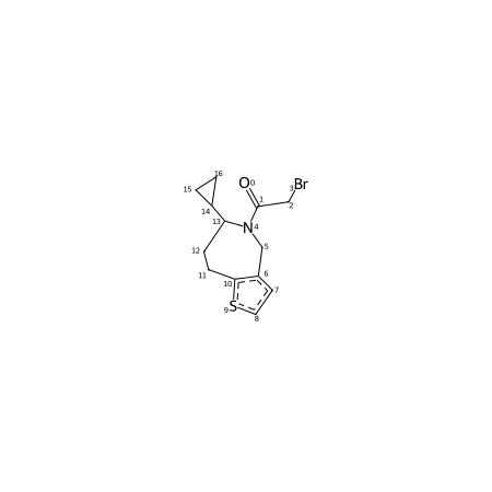 O=C(CBr)N1Cc2ccsc2CCC1C1CC1